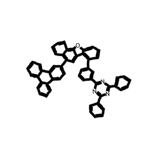 c1ccc(-c2nc(-c3ccccc3)nc(-c3cccc(-c4cccc5oc6c7ccccc7c(-c7ccc8c9ccccc9c9ccccc9c8c7)cc6c45)c3)n2)cc1